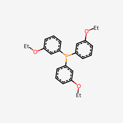 CCOc1cccc(P(c2cccc(OCC)c2)c2cccc(OCC)c2)c1